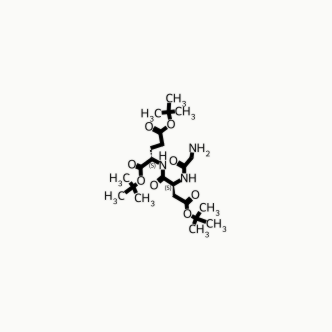 CC(C)(C)OC(=O)CC[C@H](NC(=O)[C@H](CC(=O)OC(C)(C)C)NC(=O)CN)C(=O)OC(C)(C)C